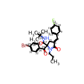 CCCN1C(=O)C(=Cc2ccc(F)cc2)CC1(C(=O)NC(C)(C)C)C(=O)c1ccc(Br)cc1